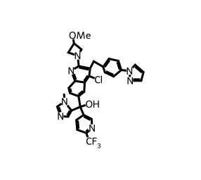 COC1CN(c2nc3ccc(C(O)(c4ccc(C(F)(F)F)nc4)c4cncn4C)cc3c(Cl)c2Cc2ccc(-n3cccn3)cc2)C1